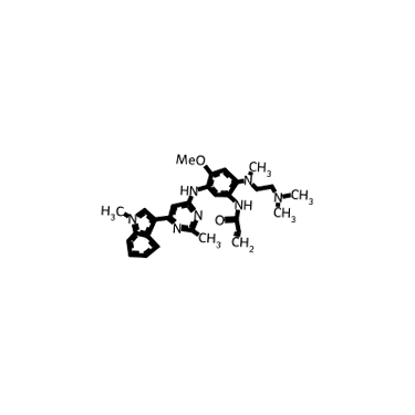 C=CC(=O)Nc1cc(Nc2cc(-c3cn(C)c4ccccc34)nc(C)n2)c(OC)cc1N(C)CCN(C)C